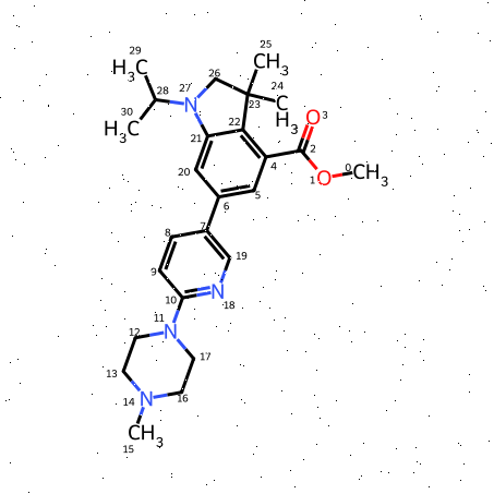 COC(=O)c1cc(-c2ccc(N3CCN(C)CC3)nc2)cc2c1C(C)(C)CN2C(C)C